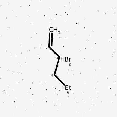 Br.C=CCCCC